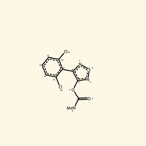 CNC(=O)Oc1nsnc1-c1c(Cl)cccc1Cl